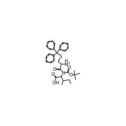 CCC(C)C(C(=O)O)N(C(=O)OC(C)(C)C)C(=O)C(N)CSC(c1ccccc1)(c1ccccc1)c1ccccc1